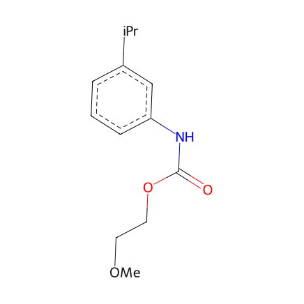 COCCOC(=O)Nc1cccc(C(C)C)c1